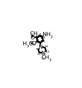 COc1cc(N)cc(N2CCN(C)CC2)c1OC